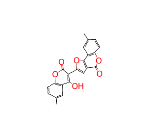 Cc1ccc2oc(=O)c(-c3cc4c(=O)oc5ccc(C)cc5c4o3)c(O)c2c1